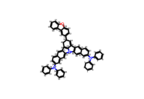 C1=CCCC(N(c2ccccc2)c2ccc3cc4c5c6c(c7cc8ccc(N(c9ccccc9)c9ccccc9)cc8cc7n6c4cc3c2)CC(c2ccc3oc4ccccc4c3c2)C=5)=C1